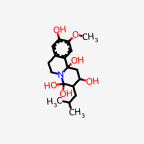 COc1cc2c(cc1O)CCN1C2(O)CC(O)C(CC(C)C)C1(O)O